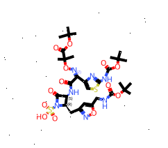 CC(C)(C)OC(=O)NCc1cc(C[C@@H]2[C@H](NC(=O)/C(=N\OC(C)(C)C(=O)OC(C)(C)C)c3csc(NC(=O)OC(C)(C)C)n3)C(=O)N2S(=O)(=O)O)no1